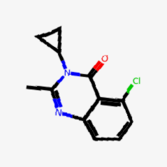 Cc1nc2cccc(Cl)c2c(=O)n1C1CC1